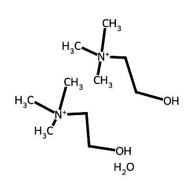 C[N+](C)(C)CCO.C[N+](C)(C)CCO.O